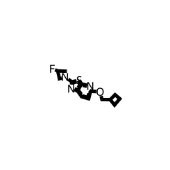 FC1CN(c2nc3ccc(OCC4CCC4)nc3s2)C1